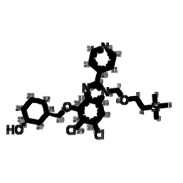 C[Si](C)(C)CCOCn1c(-c2ccncc2)nc2c(OC[C@@H]3CCC[C@@H](O)C3)c(Cl)c(Cl)cc21